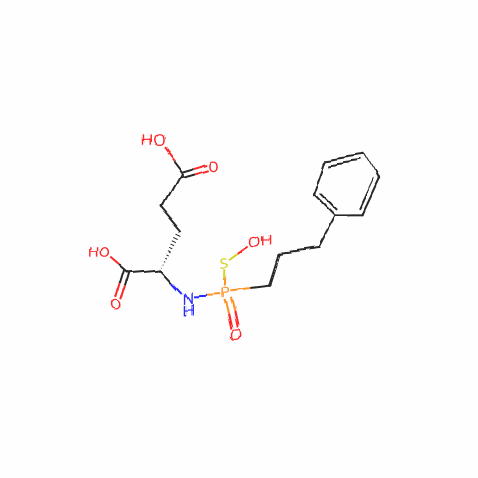 O=C(O)CC[C@H](NP(=O)(CCCc1ccccc1)SO)C(=O)O